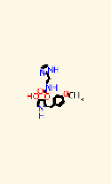 COc1ccc(C[C@H]2NC[C@H](O)[C@H]2OC(=O)NCCc2ncc[nH]2)cc1